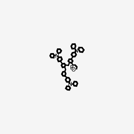 C/C=C\C(P=O)c1cc(-c2ccc(N(c3ccccc3)c3ccccc3)cc2)ccc1Cc1cc(-c2ccc(N(c3ccccc3)c3ccccc3)cc2)ccc1Cc1cccc(-c2ccc(N(c3ccccc3)c3ccccc3)cc2)c1